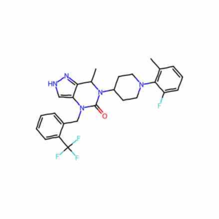 Cc1cccc(F)c1N1CCC(N2C(=O)N(Cc3ccccc3C(F)(F)F)c3c[nH]nc3C2C)CC1